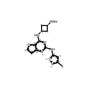 CN[C@H]1C[C@@H](Nc2nc(Nc3cc(C)ns3)nc3ccsc23)C1